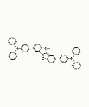 CS1(C)c2ccc(-c3ccc(N(c4ccccc4)c4ccccc4)cc3)cc2-c2oc3ccc(-c4ccc(N(c5ccccc5)c5ccccc5)cc4)cc3c21